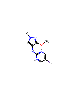 COc1nn(C)cc1Nc1ncc(I)cn1